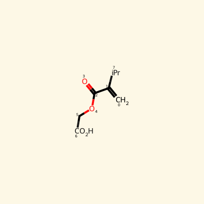 C=C(C(=O)OCC(=O)O)C(C)C